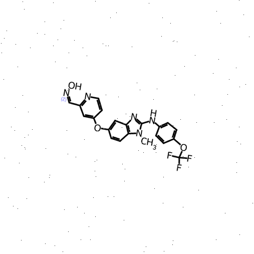 Cn1c(Nc2ccc(OC(F)(F)F)cc2)nc2cc(Oc3ccnc(/C=N\O)c3)ccc21